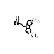 Cc1ccc2c(c1)c1c(n2CCc2ccc[nH]2)CCN(C)C1